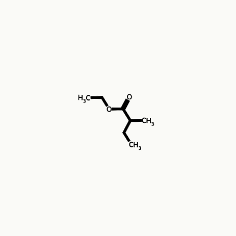 CCOC(=O)[C](C)CC